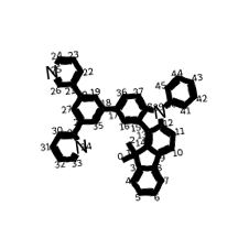 CC1(C)c2ccccc2-c2ccc3c(c21)c1cc(-c2cc(-c4cccnc4)cc(-c4ccccn4)c2)ccc1n3-c1ccccc1